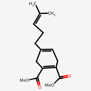 COC(=O)C1=C(C(=O)OC)CC(CCC=C(C)C)=CC1